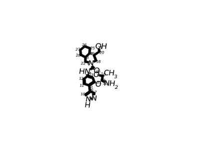 CC(Oc1cc(-c2cn[nH]c2)ccc1NC(=O)N(CCCO)CC1CCCCC1)C(N)=O